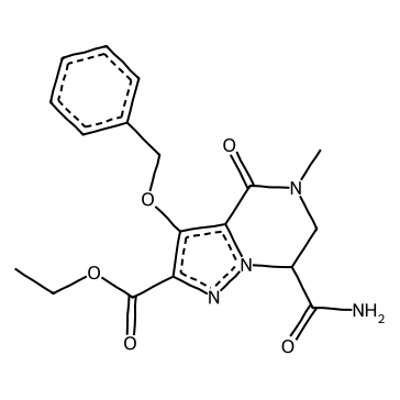 CCOC(=O)c1nn2c(c1OCc1ccccc1)C(=O)N(C)CC2C(N)=O